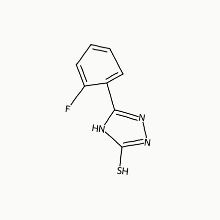 Fc1ccccc1-c1nnc(S)[nH]1